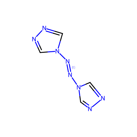 c1nncn1/N=N/n1cnnc1